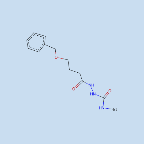 CCNC(=O)NNC(=O)CCCOCc1ccccc1